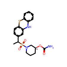 CC(c1ccc2c(c1)Nc1ccccc1S2)S(=O)(=O)N1CCC[C@H](OC(N)=O)C1